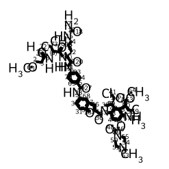 COCCC(=O)N[C@H](C(=O)N[C@@H](CCCNC(N)=O)C(=O)Nc1ccc(C(=O)Nc2ccc3oc(C(=O)N4C[C@@H](CCl)c5c4cc(OC(=O)N4CCN(C)CC4)c4[nH]c(C)c(C(=O)OC)c54)cc3c2)cc1)C(C)C